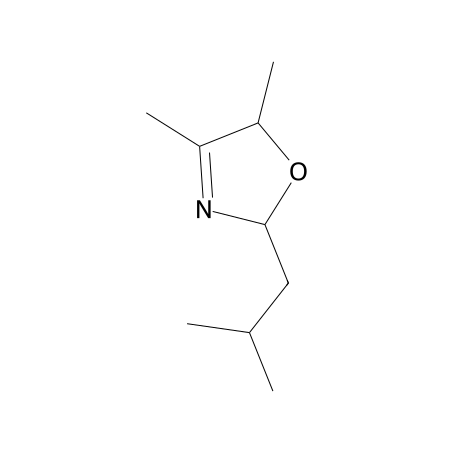 CC1=NC(CC(C)C)OC1C